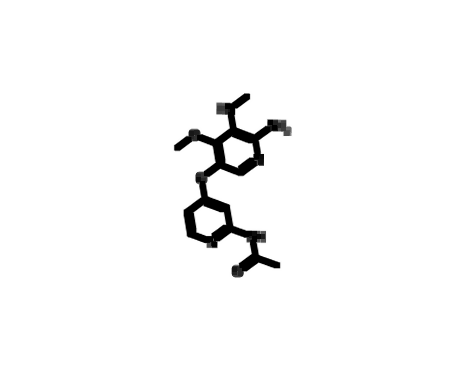 CNc1c(N)ncc(Oc2ccnc(NC(C)=O)c2)c1OC